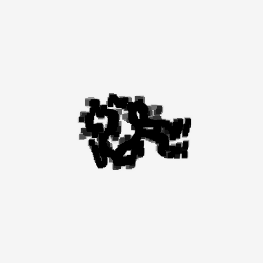 CN1CCN(C(=O)c2ccnc(-c3c(O)[nH]c4ccc(C#N)cc34)c2)CC1